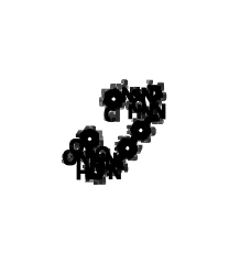 C[N+](C)(CC(=O)N1CCC[C@H]1c1ncc(-c2ccc(-c3ccc(-c4cnc([C@@H]5CCCN5C(=O)[C@H](NC(=O)[O-])c5ccccc5)[nH]4)cc3)cc2)[nH]1)c1cccc(Cl)c1